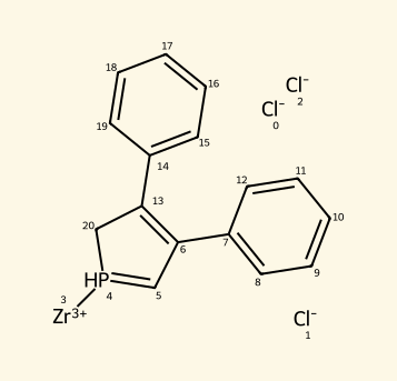 [Cl-].[Cl-].[Cl-].[Zr+3][PH]1=CC(c2ccccc2)=C(c2ccccc2)C1